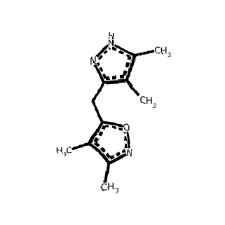 Cc1noc(Cc2n[nH]c(C)c2C)c1C